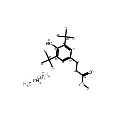 C.C.C.C.COC(=O)CCc1cc(C(C)(C)C)c(O)c(C(C)(C)C)c1